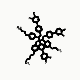 CCCCCc1ccc(CC(c2ccc(-c3ccc(F)c(F)c3)cc2)(C(Cc2ccc(-c3ccc(F)c(F)c3)cc2)c2ccc(CCC)cc2)C(Cc2ccc(-c3ccc(F)c(F)c3)cc2)c2ccc(CCCC)cc2)cc1